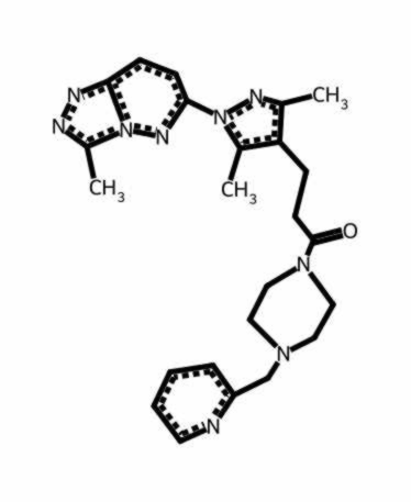 Cc1nn(-c2ccc3nnc(C)n3n2)c(C)c1CCC(=O)N1CCN(Cc2ccccn2)CC1